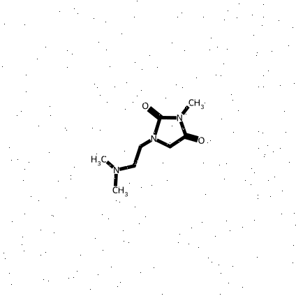 CN(C)CCN1CC(=O)N(C)C1=O